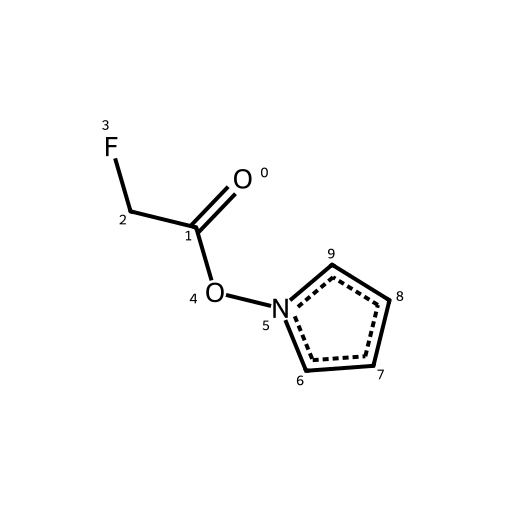 O=C(CF)On1cccc1